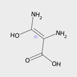 N/C(O)=C(\N)C(=O)O